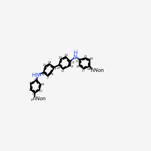 CCCCCCCCCc1ccc(Nc2ccc(-c3ccc(Nc4ccc(CCCCCCCCC)cc4)cc3)cc2)cc1